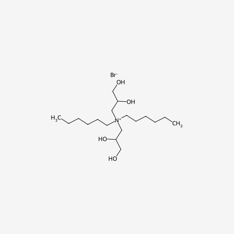 CCCCCC[N+](CCCCCC)(CC(O)CO)CC(O)CO.[Br-]